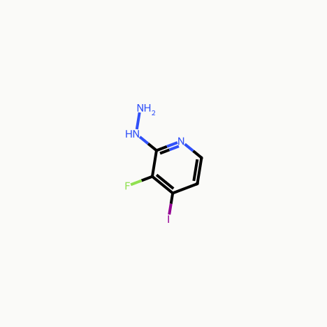 NNc1nccc(I)c1F